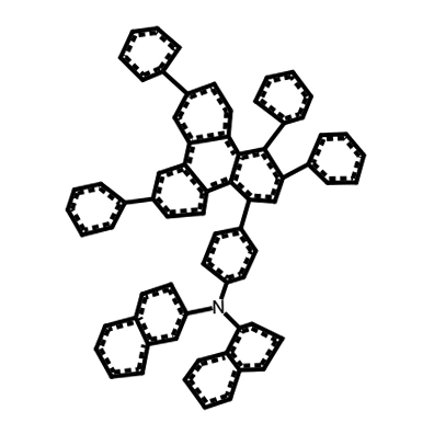 c1ccc(-c2ccc3c(c2)c2cc(-c4ccccc4)ccc2c2c(-c4ccccc4)c(-c4ccccc4)cc(-c4ccc(N(c5ccc6ccccc6c5)c5cccc6ccccc56)cc4)c32)cc1